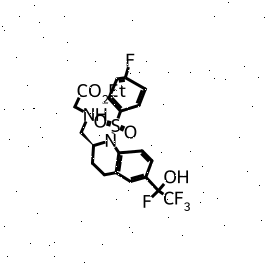 CCOC(=O)CNC[C@@H]1CCc2cc(C(O)(F)C(F)(F)F)ccc2N1S(=O)(=O)c1ccc(F)cc1